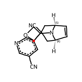 N#Cc1cncc(C2(C#N)C[C@H]3C=C[C@@H](C2)N3C2COC2)c1